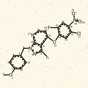 COc1ccc(Cn2nc(C)c3c(Oc4cc(Cl)c([N+](=O)[O-])cc4F)ccnc32)cc1